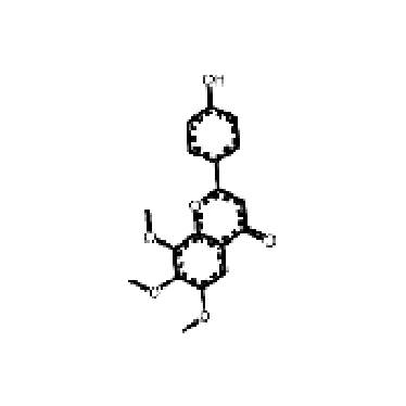 COc1cc2c(=O)cc(-c3ccc(O)cc3)oc2c(OC)c1OC